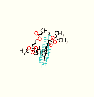 C=CC(=O)OCCC[Si](OC)(OC)OC.CCO[Si](OCC)(OCC)C(F)(F)C(F)(F)C(F)(F)C(F)(F)C(F)(F)C(F)(F)C(F)(F)C(F)(F)F